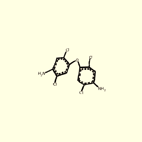 Nc1cc(Cl)c(Oc2cc(Cl)c(N)cc2Cl)cc1Cl